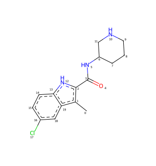 Cc1c(C(=O)NC2CCCNC2)[nH]c2ccc(Cl)cc12